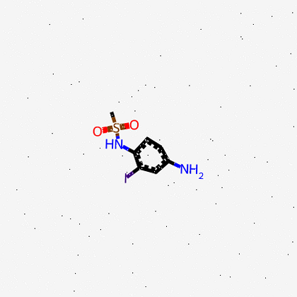 CS(=O)(=O)Nc1ccc(N)cc1I